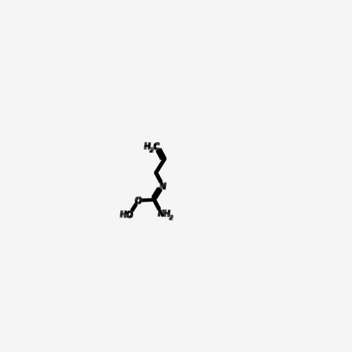 C=CCN=C(N)OO